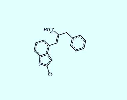 CCc1cc2c(/C=C(/Cc3ccccc3)C(=O)O)cccc2s1